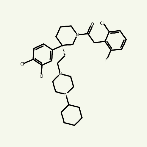 O=C(Cc1c(F)cccc1Cl)N1CCC[C@](CCN2CCN(C3CCCCC3)CC2)(c2ccc(Cl)c(Cl)c2)C1